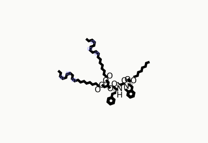 CC/C=C\C/C=C\C/C=C\CCCCCCCC(=O)OCC(COC(=O)CCCCCCC/C=C\C/C=C\C/C=C\CC)OC(=O)[C@H](CCc1ccccc1)N[C@@H](C)C(=O)N1Cc2ccccc2C[C@H]1C(=O)OCCCCCCCC